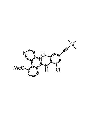 COc1nccc2c(Nc3c(Cl)cc(C#C[Si](C)(C)C)cc3Cl)nc3ccncc3c12